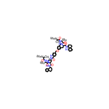 CNC(C)C(=O)NC(C(=O)N1Cc2ccc(OCc3ccc(C(=O)N[C@H]4C[C@@H](C(=O)N[C@@H]5CCCc6ccccc65)N(C(=O)C(NC(=O)C(C)NC)C(C)(C)C)C4)cc3)cc2CC1C(=O)N[C@@H]1CCCc2ccccc21)C(C)(C)C